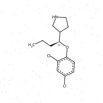 CCC[C@H](Oc1ccc(Cl)cc1Cl)C1CCNC1